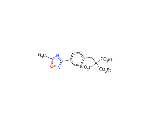 CCOC(=O)C(Cc1ccc(-c2noc(C)n2)cc1)(C(=O)OCC)C(=O)OCC